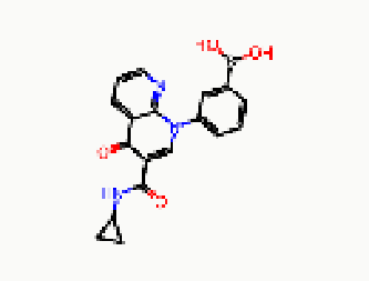 O=C(NC1CC1)c1cn(-c2cccc(B(O)O)c2)c2ncccc2c1=O